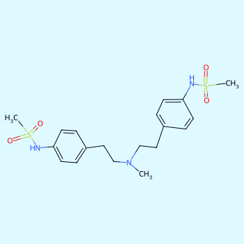 CN(CCc1ccc(NS(C)(=O)=O)cc1)CCc1ccc(NS(C)(=O)=O)cc1